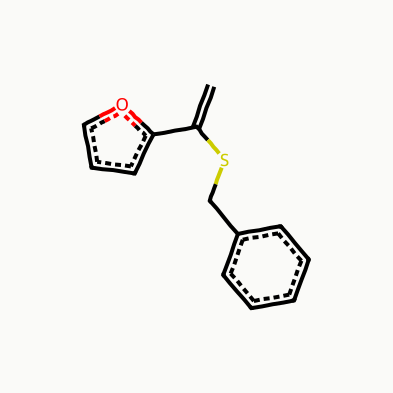 C=C(SCc1ccccc1)c1ccco1